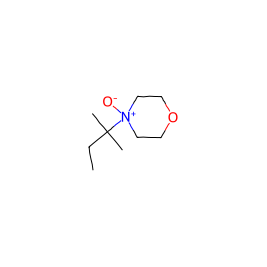 CCC(C)(C)[N+]1([O-])CCOCC1